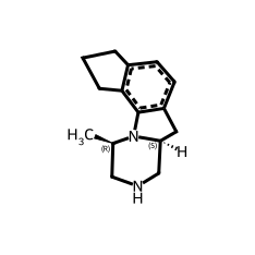 C[C@@H]1CNC[C@@H]2Cc3ccc4c(c3N21)CCC4